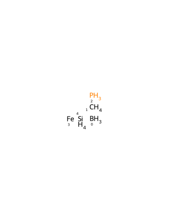 B.C.P.[Fe].[SiH4]